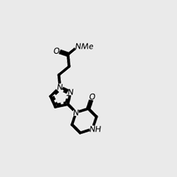 CNC(=O)CCn1ccc(N2CCNCC2=O)n1